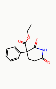 CCOC(=O)C1(c2ccccc2)CCC(=O)NC1=O